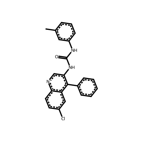 Cc1cccc(NC(=O)Nc2cnc3ccc(Cl)cc3c2-c2ccccc2)c1